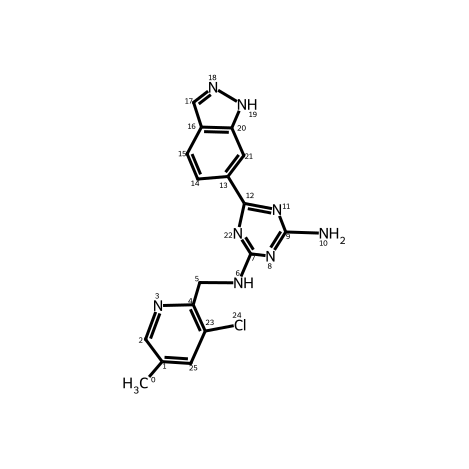 Cc1cnc(CNc2nc(N)nc(-c3ccc4cn[nH]c4c3)n2)c(Cl)c1